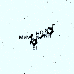 C=C(NC)n1nc(CC)cc1NCC(=O)Nc1ccc(F)cn1